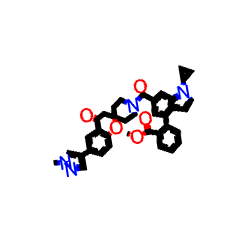 COC(=O)c1ccccc1-c1cc(C(=O)N2CCC3(CC2)CC(=O)c2cc(-c4cnn(C)c4)ccc2O3)cc2c1ccn2C1CC1